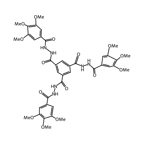 COc1cc(C(=O)NNC(=O)c2cc(C(=O)NNC(=O)c3cc(OC)c(OC)c(OC)c3)cc(C(=O)NNC(=O)c3cc(OC)c(OC)c(OC)c3)c2)cc(OC)c1OC